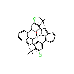 CCc1[c]c2ccccc(-c3ccc(C(C)(C)C)c(Cl)c3)c-2c1[Si](C)(C)c1c(CC)[c]c2ccccc(-c3ccc(C(C)(C)C)c(Cl)c3)c1-2